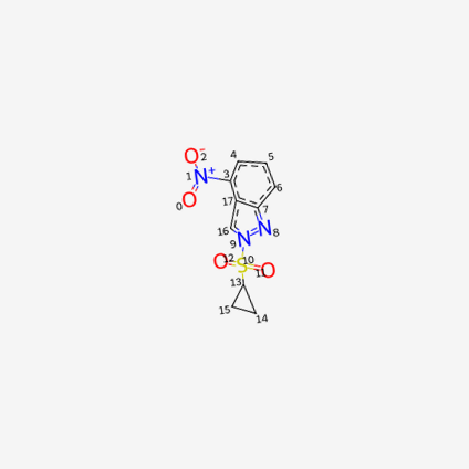 O=[N+]([O-])c1cccc2nn(S(=O)(=O)C3CC3)cc12